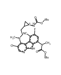 CN(CCC1C[C@H]1NC(=O)OC(C)(C)C)c1c(Cl)cnc2[nH]c3c(N(C)C(=O)OC(C)(C)C)cc(F)c(C#N)c3c12